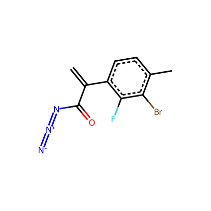 C=C(C(=O)N=[N+]=[N-])c1ccc(C)c(Br)c1F